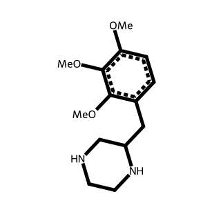 COc1ccc(CC2CNCCN2)c(OC)c1OC